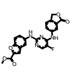 COC(=O)c1cc2cc(Nc3ncc(F)c(Nc4ccc5c(c4)C(=O)OC5)n3)ccc2o1